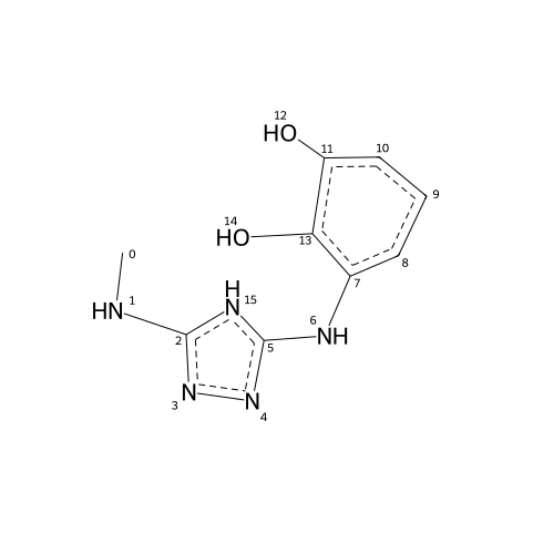 CNc1nnc(Nc2cccc(O)c2O)[nH]1